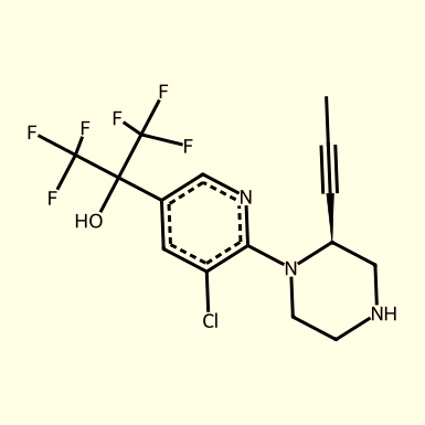 CC#C[C@H]1CNCCN1c1ncc(C(O)(C(F)(F)F)C(F)(F)F)cc1Cl